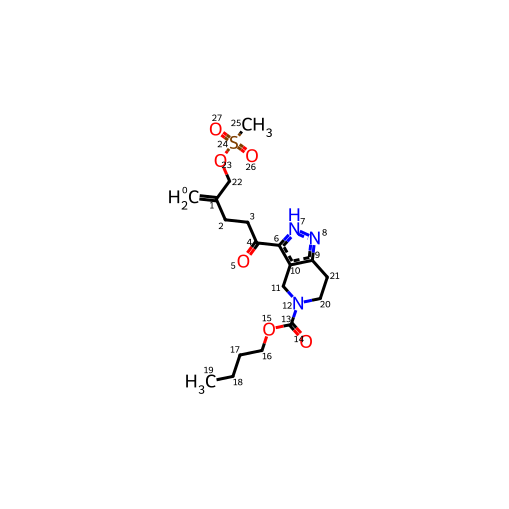 C=C(CCC(=O)c1[nH]nc2c1CN(C(=O)OCCCC)CC2)COS(C)(=O)=O